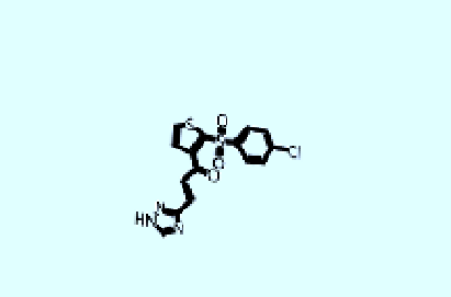 O=C(C=Cc1nc[nH]n1)c1ccsc1S(=O)(=O)c1ccc(Cl)cc1